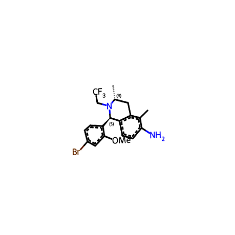 COc1cc(Br)ccc1[C@@H]1c2ccc(N)c(C)c2C[C@@H](C)N1CC(F)(F)F